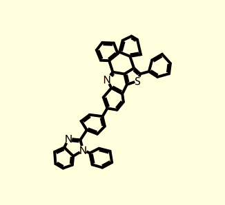 c1ccc(-c2sc3c(c(-c4ccccc4)nc4cc(-c5ccc(-c6nc7ccccc7n6-c6ccccc6)cc5)ccc43)c2-c2ccccc2)cc1